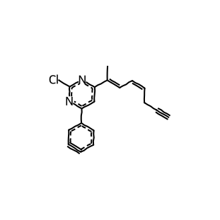 C#CC/C=C\C=C(/C)c1cc(-c2cc#ccc2)nc(Cl)n1